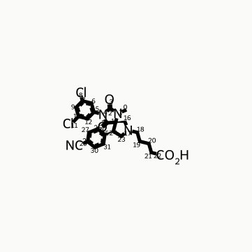 CN1C(=O)N(c2cc(Cl)cc(Cl)c2)C(=O)[C@]12CN(CCCCC(=O)O)C[C@H]2c1ccc(C#N)cc1